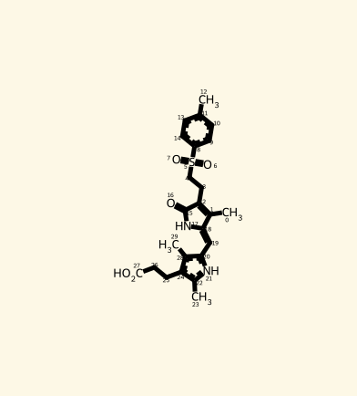 CC1=C(CCS(=O)(=O)c2ccc(C)cc2)C(=O)N/C1=C\c1[nH]c(C)c(CCC(=O)O)c1C